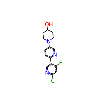 OC1CCN(c2ccc(-c3cnc(Cl)cc3F)nc2)CC1